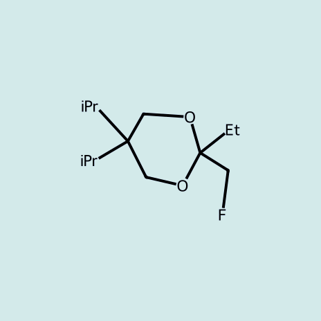 CCC1(CF)OCC(C(C)C)(C(C)C)CO1